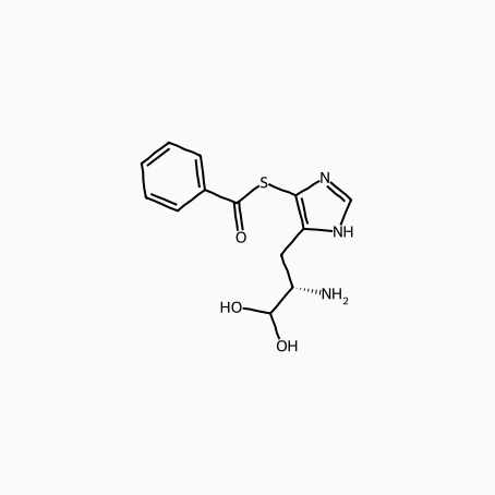 N[C@@H](Cc1[nH]cnc1SC(=O)c1ccccc1)C(O)O